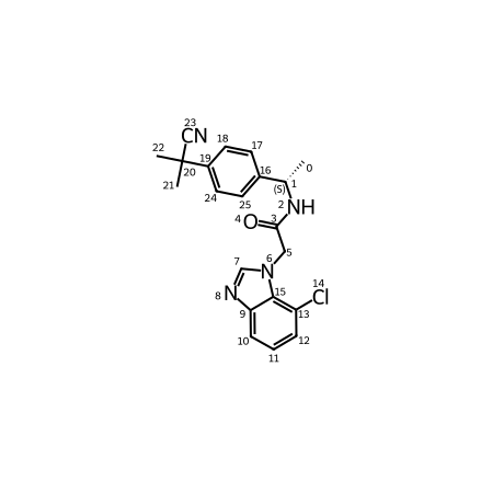 C[C@H](NC(=O)Cn1cnc2cccc(Cl)c21)c1ccc(C(C)(C)C#N)cc1